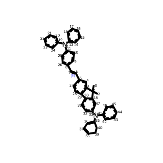 CC1(C)c2cc(/C=C/c3ccc(N(c4ccccc4)c4ccccc4)cc3)ccc2-c2ccc(N(C3=CC=CCC3)c3ccccc3)cc21